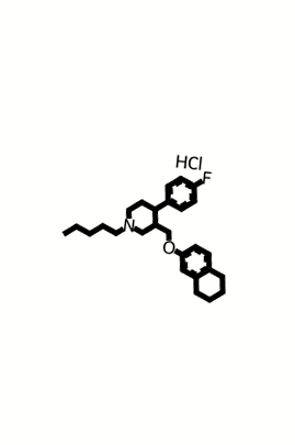 CCCCCN1CCC(c2ccc(F)cc2)C(COc2ccc3c(c2)CCCC3)C1.Cl